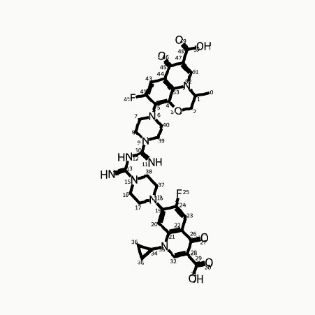 CC1COc2c(N3CCN(C(=N)NC(=N)N4CCN(c5cc6c(cc5F)c(=O)c(C(=O)O)cn6C5CC5)CC4)CC3)c(F)cc3c(=O)c(C(=O)O)cn1c23